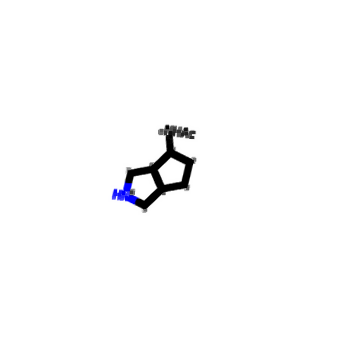 CC(=O)NC1CCC2CNCC21